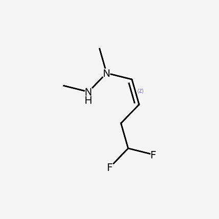 CNN(C)/C=C\CC(F)F